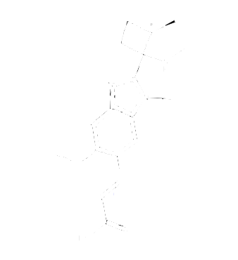 CNC1(c2nc3cc(OC)c(/C=C/C(=O)O)cc3n2C)CC[C@H]1C